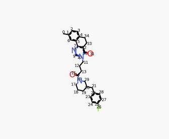 Cc1ccc2c(c1)-c1ncn(CCCC(=O)N3CCCC(Cc4ccc(F)cc4)C3)c(=O)c1CC2